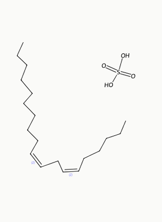 CCCCC/C=C\C/C=C\CCCCCCCCC.O=S(=O)(O)O